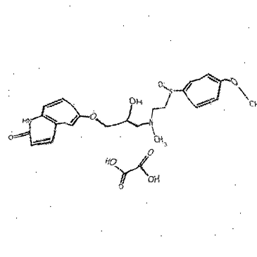 COc1ccc([S+]([O-])CCN(C)CC(O)COc2ccc3[nH]c(=O)ccc3c2)cc1.O=C(O)C(=O)O